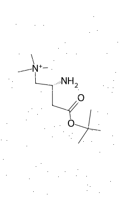 CC(C)(C)OC(=O)C[C@@H](N)C[N+](C)(C)C